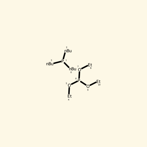 CCCCP(CCCC)CCCC.CCOP(OCC)OCC